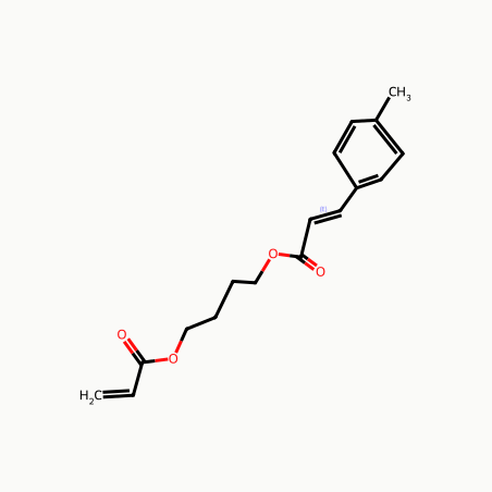 C=CC(=O)OCCCCOC(=O)/C=C/c1ccc(C)cc1